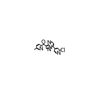 Cc1ccc(C(=O)c2cnn3c(-c4ccnc(Cl)c4)ccnc23)nc1